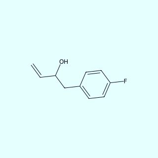 C=CC(O)Cc1ccc(F)cc1